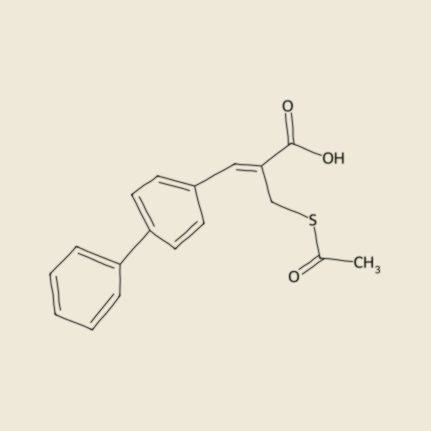 CC(=O)SCC(=Cc1ccc(-c2ccccc2)cc1)C(=O)O